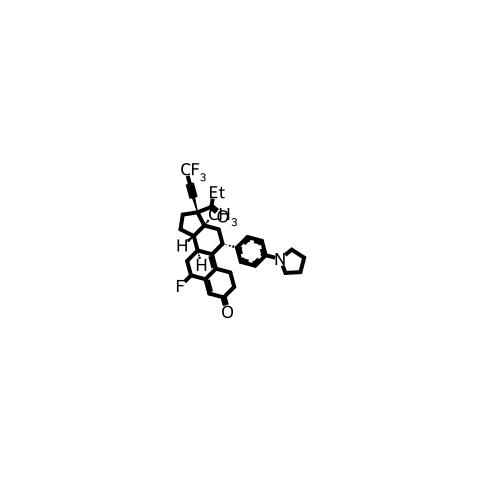 CCC(=O)[C@@]1(C#CC(F)(F)F)CC[C@H]2[C@@H]3CC(F)C4=CC(=O)CCC4=C3[C@@H](c3ccc(N4CCCC4)cc3)C[C@@]21C